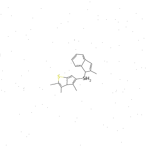 CC1=Cc2ccccc2C1[SiH2]C1=C(C)C2C(=C1)SC(C)=C2C